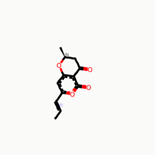 C/C=C/c1cc2c(c(=O)o1)C(=O)C[C@H](C)O2